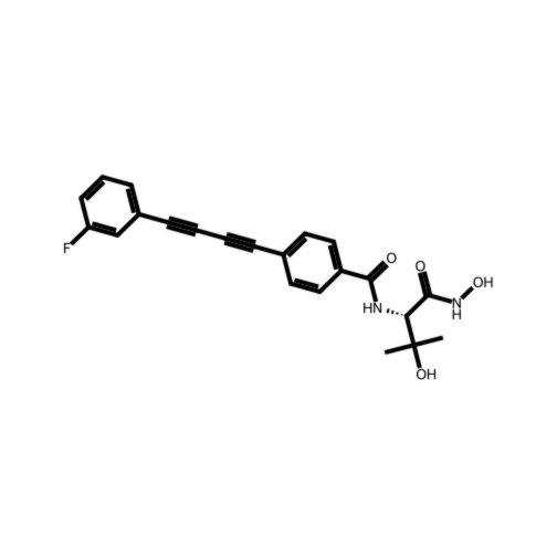 CC(C)(O)[C@H](NC(=O)c1ccc(C#CC#Cc2cccc(F)c2)cc1)C(=O)NO